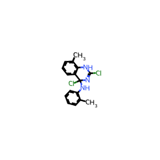 Cc1ccccc1NC1(Cl)N=C(Cl)Nc2c(C)cccc21